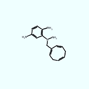 Nc1ccc(N)c(N(N)CC2=C/C/C=C\C/C=C\2)c1